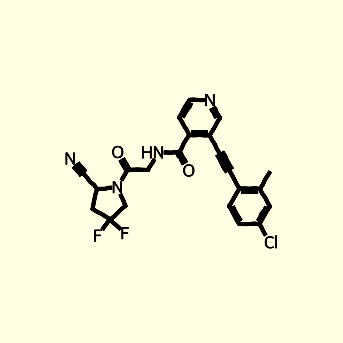 Cc1cc(Cl)ccc1C#Cc1cnccc1C(=O)NCC(=O)N1CC(F)(F)CC1C#N